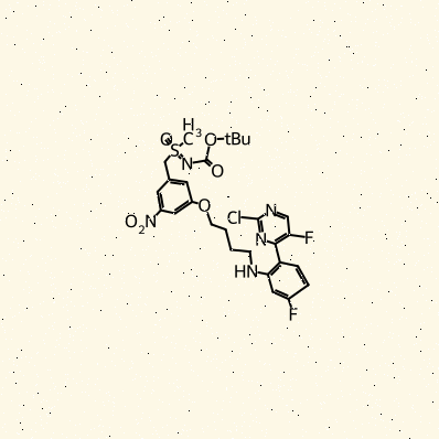 CC(C)(C)OC(=O)N=S(C)(=O)Cc1cc(OCCCCNc2cc(F)ccc2-c2nc(Cl)ncc2F)cc([N+](=O)[O-])c1